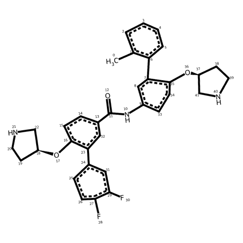 Cc1ccccc1-c1cc(NC(=O)c2ccc(O[C@H]3CCNC3)c(-c3ccc(F)c(F)c3)c2)ccc1O[C@H]1CCNC1